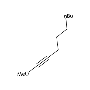 CCCCCCCC#COC